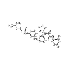 CN(C)C/C=C/C(=O)Nc1cccc(Nc2ncc3cc(Oc4ccc(F)cc4F)c(=O)n(C4CCCC4)c3n2)c1